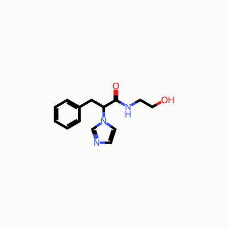 O=C(NCCO)C(Cc1ccccc1)n1ccnc1